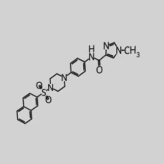 Cn1cnc(C(=O)Nc2ccc(N3CCN(S(=O)(=O)c4ccc5ccccc5c4)CC3)cc2)c1